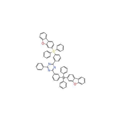 c1ccc(-c2nc(-c3cccc([Si](c4ccccc4)(c4ccccc4)c4ccc5c(c4)oc4ccccc45)c3)nc(-c3cccc(S(c4ccccc4)(c4ccccc4)c4ccc5c(c4)oc4ccccc45)c3)n2)cc1